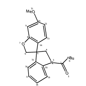 CCCCC(=O)N1CC2(COc3cc(OC)ccc32)c2ccccc21